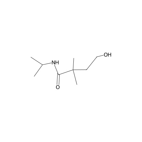 CC(C)NC(=O)C(C)(C)CCO